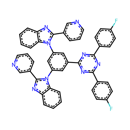 Fc1ccc(-c2nc(-c3ccc(F)cc3)nc(-c3cc(-n4c(-c5cccnc5)nc5ccccc54)cc(-n4c(-c5cccnc5)nc5ccccc54)c3)n2)cc1